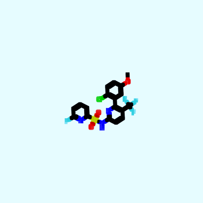 COc1ccc(Cl)c(-c2nc(NS(=O)(=O)c3cccc(F)n3)ccc2C(F)(F)F)c1